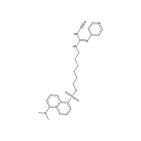 CN(C)c1cccc2c(S(=O)(=O)OCCCCCCNC(=Nc3ccncc3)NC#N)cccc12